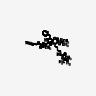 C[C@@H](NC(=O)OCCN=[N+]=[N-])C(=O)N[C@@H](Cc1ccccc1)C(=O)N[C@@H](CCCCNC(=O)OC(C)(C)C)C(=O)OC(C)(C)C